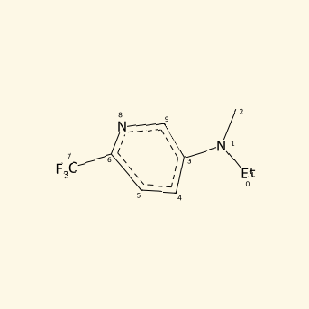 CCN(C)c1ccc(C(F)(F)F)nc1